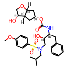 COc1ccc(S(=O)(=O)N(CC(C)C)C[C@@H](O)[C@H](Cc2ccccc2)NC(=O)O[C@@H]2C[C@@H]3[C@H](O)CO[C@@H]3C2)cc1